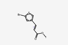 O=C(/C=C/c1csc(Br)c1)OI